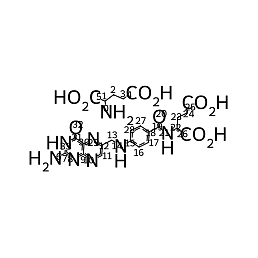 NC(CCC(=O)O)C(=O)O.Nc1nc2ncc(CNc3ccc(C(=O)NC(CCC(=O)O)C(=O)O)cc3)nc2c(=O)[nH]1